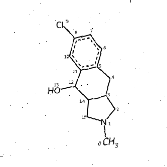 CN1CC2Cc3ccc(Cl)cc3C(O)C2C1